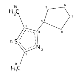 Cc1nc(C2CCCC2)c(C)s1